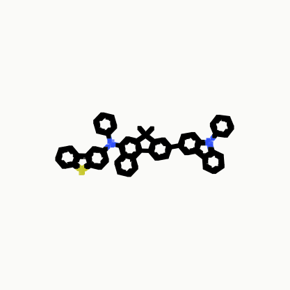 CC1(C)c2cc(-c3ccc4c(c3)c3ccccc3n4-c3ccccc3)ccc2-c2c1cc(N(c1ccccc1)c1ccc3sc4ccccc4c3c1)c1ccccc21